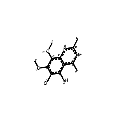 COc1c(Cl)c(S)c2c(C)nc(C)nc2c1OC